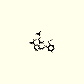 COc1ccccc1OCC1SCC(C(=O)O)N1C(=O)CSC(C)=O